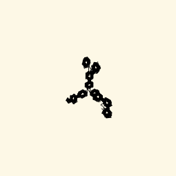 C=Cc1ccc(-c2ccc(N(c3ccc(-c4ccc5c(c4)c4ccccc4n5-c4ccccc4)cc3)c3ccc4cc(-c5cccc6c5sc5ccccc56)ccc4c3)cc2)cc1